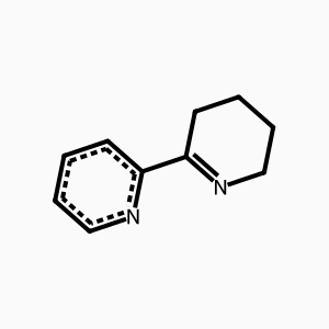 c1ccc(C2=NCCCC2)nc1